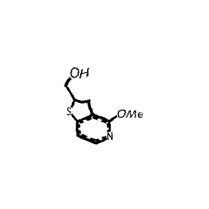 COc1nccc2c1CC(CO)S2